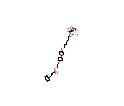 CCC(C)(C)C(=O)OCCCCCCOc1ccc(-c2ccc(OCCOC(=O)C=Cc3ccccc3)cc2)cc1